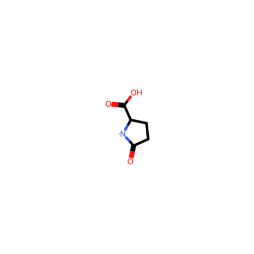 O=C1CCC(C(=O)O)[N]1